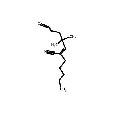 CCCCCC(C#N)=CC(C)(C)CCC=O